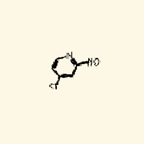 O=Nc1cc(Cl)ccn1